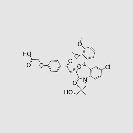 COc1cccc([C@H]2O[C@H](CC(=O)c3ccc(OCC(=O)O)cc3)C(=O)N(CC(C)(C)CO)c3ccc(Cl)cc32)c1OC